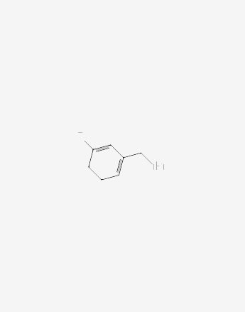 CC(C)CC1=CCCC(F)=C1